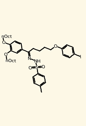 CCCCCCCCOc1ccc(/C(CCCCOc2ccc(I)cc2)=N/NS(=O)(=O)c2ccc(C)cc2)cc1OCCCCCCCC